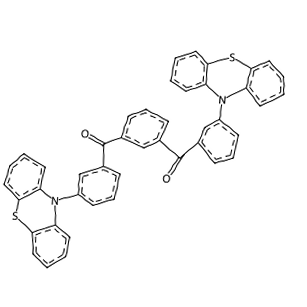 O=C(c1cccc(C(=O)c2cccc(N3c4ccccc4Sc4ccccc43)c2)c1)c1cccc(N2c3ccccc3Sc3ccccc32)c1